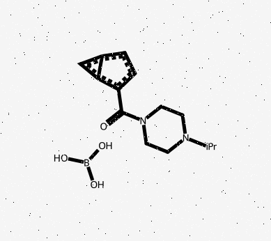 CC(C)N1CCN(C(=O)c2ccc3cc2-3)CC1.OB(O)O